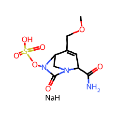 COCC1=CC(C(N)=O)N2CC1N(OS(=O)(=O)O)C2=O.[NaH]